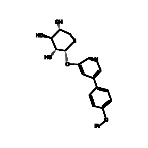 CC(C)Oc1ccc(-c2cncc(O[C@H]3SC[C@@H](O)[C@H](O)[C@H]3O)c2)cc1